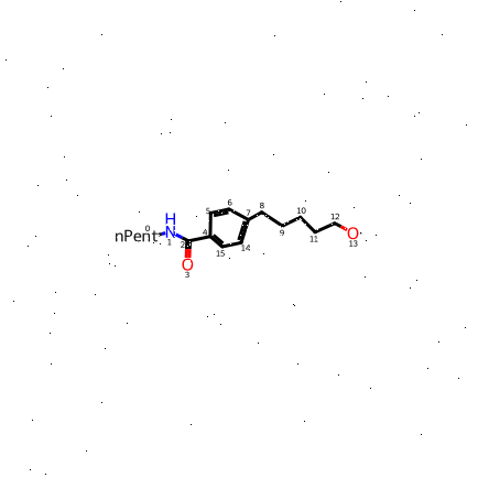 CCCCCNC(=O)c1ccc(CCCCC[O])cc1